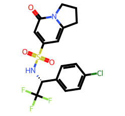 O=c1cc(S(=O)(=O)N[C@H](c2ccc(Cl)cc2)C(F)(F)F)cc2n1CCC2